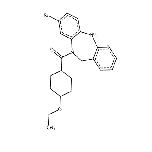 CCOC1CCC(C(=O)N2Cc3cccnc3Nc3ccc(Br)cc32)CC1